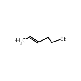 [CH2]/C=C/CCC[CH2]